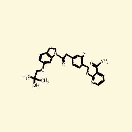 CC(C)(O)COc1ccc2c(c1)N(C(=O)Cc1ccc(COc3ncccc3C(N)=O)c(F)c1)CC2